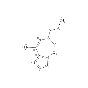 CCCC1COc2ccsc2C(N)=N1